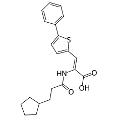 O=C(CCC1CCCC1)NC(=Cc1ccc(-c2ccccc2)s1)C(=O)O